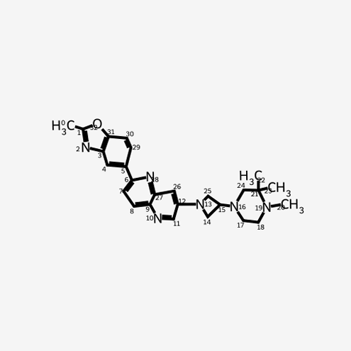 Cc1nc2cc(-c3ccc4ncc(N5CC(N6CCN(C)C(C)(C)C6)C5)cc4n3)ccc2o1